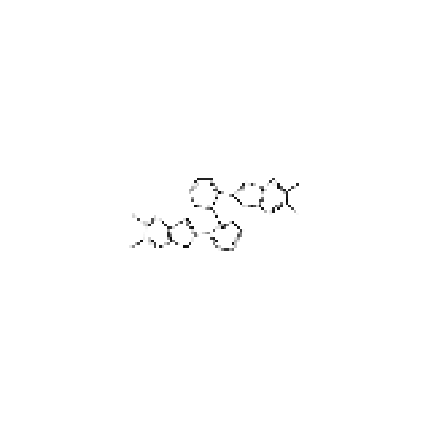 Cc1cc2c(cc1C)CC(c1ccccc1-c1ccccc1C1=Cc3cc(C)c(C)cc3C1)=C2